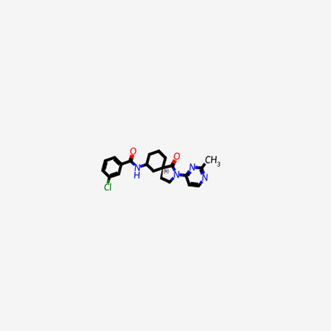 Cc1nccc(N2CC[C@@]3(CCCC(NC(=O)c4cccc(Cl)c4)C3)C2=O)n1